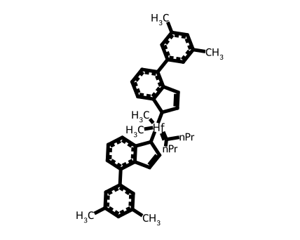 CCC[C](CCC)=[Hf]([CH3])([CH3])([CH]1C=Cc2c(-c3cc(C)cc(C)c3)cccc21)[CH]1C=Cc2c(-c3cc(C)cc(C)c3)cccc21